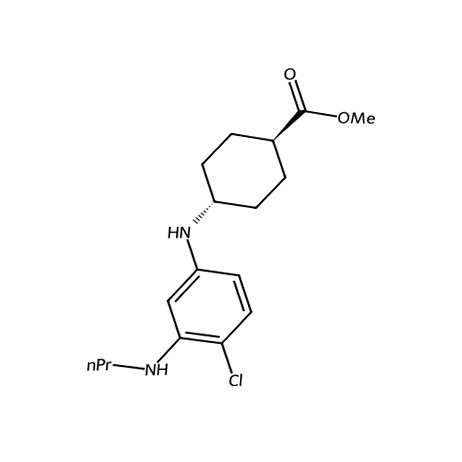 CCCNc1cc(N[C@H]2CC[C@H](C(=O)OC)CC2)ccc1Cl